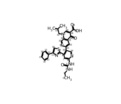 CCNC(=O)Nc1cc(-c2nc(-c3ccccc3)cs2)c(-c2cc3c(=O)c(C(=O)O)cn(CC(C)C)c3cn2)cn1